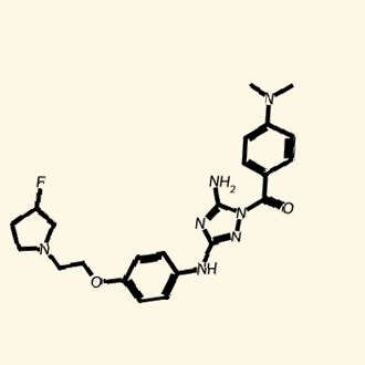 CN(C)c1ccc(C(=O)n2nc(Nc3ccc(OCCN4CCC(F)C4)cc3)nc2N)cc1